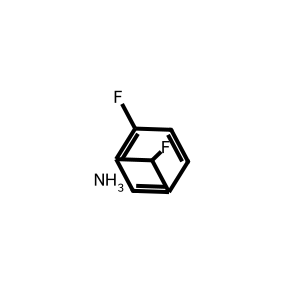 Fc1ccc2cc1C2F.N